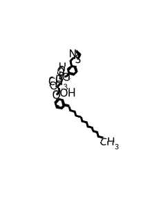 CCCCCCCCCCCCCCc1cccc(OC(O)C(CO[PH](=O)Oc2cccc(Cc3nccs3)c2)OC)c1